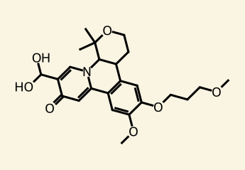 COCCCOc1cc2c(cc1OC)-c1cc(=O)c(C(O)O)cn1C1C2CCOC1(C)C